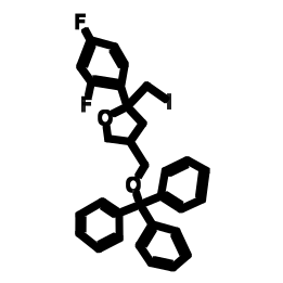 Fc1ccc(C2(CI)CC(COC(c3ccccc3)(c3ccccc3)c3ccccc3)CO2)c(F)c1